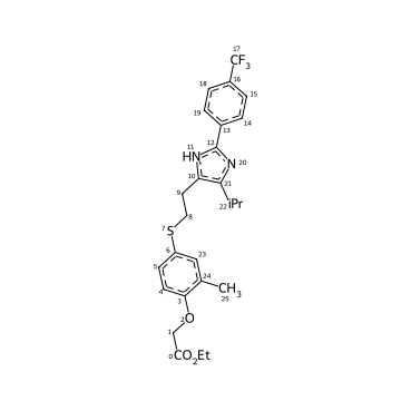 CCOC(=O)COc1ccc(SCCc2[nH]c(-c3ccc(C(F)(F)F)cc3)nc2C(C)C)cc1C